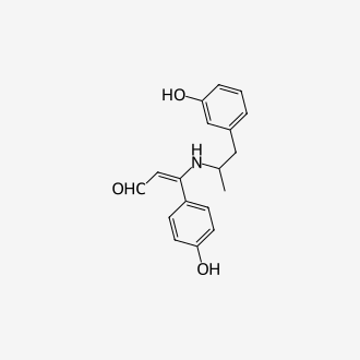 CC(Cc1cccc(O)c1)NC(=CC=O)c1ccc(O)cc1